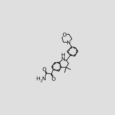 CC1(C)CC(c2cccc(N3CCOCC3)c2)Nc2ccc(C(=O)C(N)=O)cc21